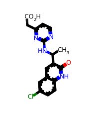 CC(Nc1nccc(CC(=O)O)n1)c1cc2cc(Cl)ccc2[nH]c1=O